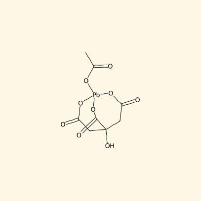 CC(=O)[O][Pb]12[O]C(=O)CC(O)(CC(=O)[O]1)C(=O)[O]2